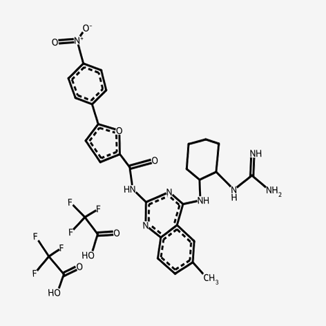 Cc1ccc2nc(NC(=O)c3ccc(-c4ccc([N+](=O)[O-])cc4)o3)nc(NC3CCCCC3NC(=N)N)c2c1.O=C(O)C(F)(F)F.O=C(O)C(F)(F)F